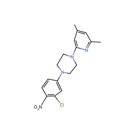 Cc1cc(C)nc(N2CCN(c3ccc([N+](=O)[O-])c(Cl)c3)CC2)c1